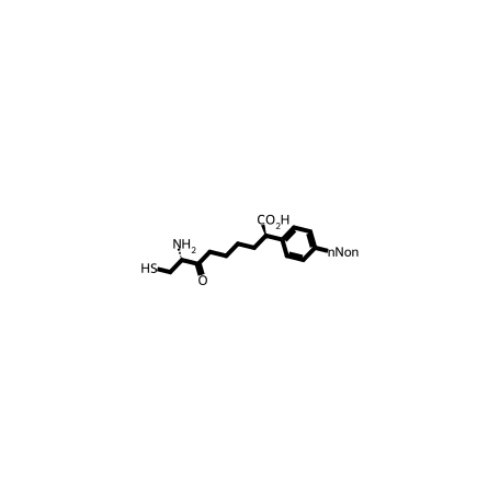 CCCCCCCCCc1ccc([C@@H](CCCCC(=O)[C@@H](N)CS)C(=O)O)cc1